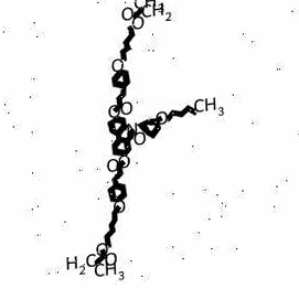 C=C(C)C(=O)OCCCCCCOc1ccc(CCC(=O)Oc2ccc3c(c2)nc(Oc2ccc(OCCCCCC)cc2)c2cc(OC(=O)CCc4ccc(OCCCCCCOC(=O)C(=C)C)cc4)ccc23)cc1